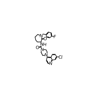 O=C(N[C@H]1CCCCN(Cc2ccc(F)cc2)C1=O)N1CCN(c2ccnc3cc(Cl)ccc23)CC1